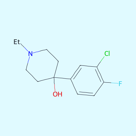 CCN1CCC(O)(c2ccc(F)c(Cl)c2)CC1